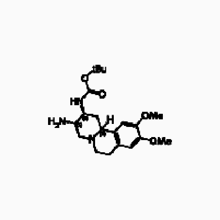 COc1cc2c(cc1OC)[C@@H]1C[C@H](NC(=O)OC(C)(C)C)[C@@H](N)CN1CC2